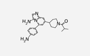 CC(C)C(=O)N1CCC(c2cc(-c3ccc(N)cc3)n3c(N)cnc3c2)CC1